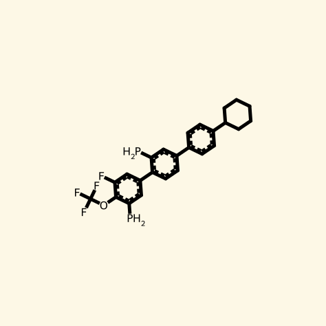 Fc1cc(-c2ccc(-c3ccc(C4CCCCC4)cc3)cc2P)cc(P)c1OC(F)(F)F